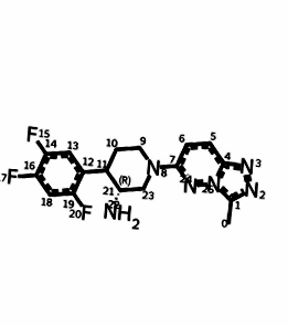 Cc1nnc2ccc(N3CCC(c4cc(F)c(F)cc4F)[C@@H](N)C3)nn12